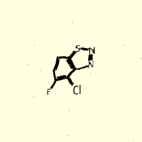 Fc1ccc2snnc2c1Cl